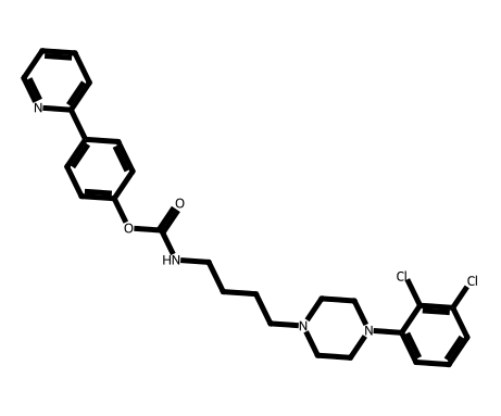 O=C(NCCCCN1CCN(c2cccc(Cl)c2Cl)CC1)Oc1ccc(-c2ccccn2)cc1